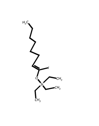 CCCCCCC=C(I)O[Si](CC)(CC)CC